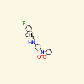 Cc1cc(F)ccc1CCCNC1CCC(n2c(=O)oc3ccccc32)CC1